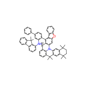 CC1(C)CCC(C)(C)c2cc3c(cc21)N1c2cc4oc5ccccc5c4c(-c4ccc(-c5ccccc5)cc4Nc4cccc5c4C(C)(C)c4ccccc4-5)c2Bc2cccc(c21)C3(C)C